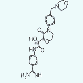 N=C(N)c1ccc(NC(=O)[C@H](O)[C@H]2OCCN(c3ccc(CN4CCOCC4)cc3)C2=O)cc1